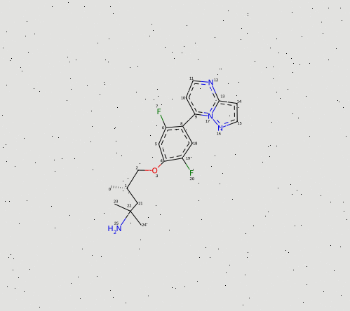 C[C@H](COc1cc(F)c(-c2ccnc3ccnn23)cc1F)CC(C)(C)N